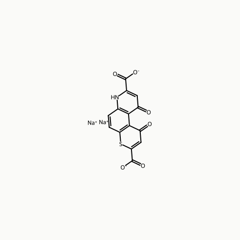 O=C([O-])c1cc(=O)c2c(ccc3sc(C(=O)[O-])cc(=O)c32)[nH]1.[Na+].[Na+]